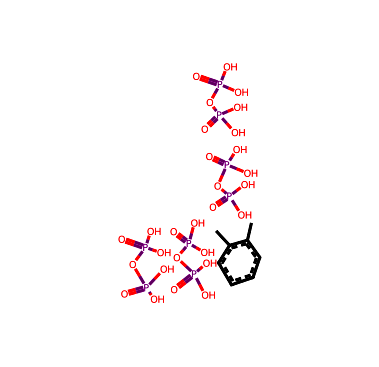 Cc1ccccc1C.O=P(O)(O)OP(=O)(O)O.O=P(O)(O)OP(=O)(O)O.O=P(O)(O)OP(=O)(O)O.O=P(O)(O)OP(=O)(O)O